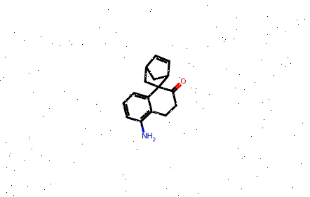 Nc1cccc2c1CCC(=O)C21CC2C=CC1C2